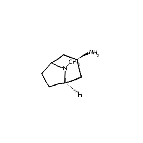 CN1C2CC[C@@H]1C[C@H](N)C2